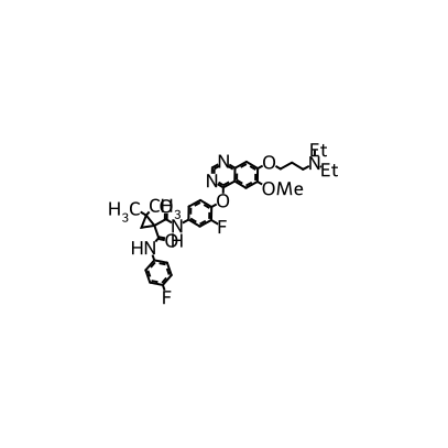 CCN(CC)CCCOc1cc2ncnc(Oc3ccc(NC(=O)C4(C(=O)Nc5ccc(F)cc5)CC4(C)C)cc3F)c2cc1OC